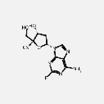 [C-]#[N+][C@]1(CO)O[C@@H](n2cnc3c(N)nc(F)nc32)C[C@H]1O